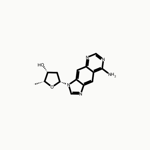 [CH2][C@H]1O[C@@H](n2cnc3cc4c(N)ncnc4cc32)C[C@H]1O